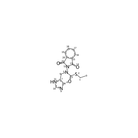 CCSC(=O)N(Cc1cnc[nH]1)N1C(=O)c2ccccc2C1=O